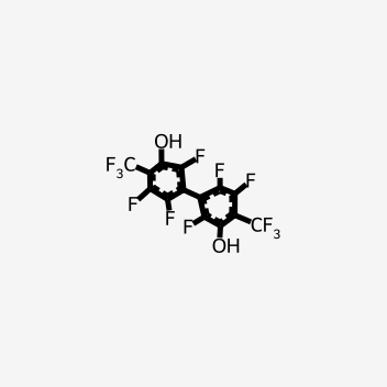 Oc1c(F)c(-c2c(F)c(O)c(C(F)(F)F)c(F)c2F)c(F)c(F)c1C(F)(F)F